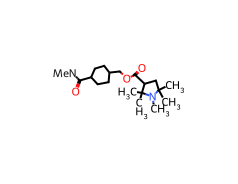 CNC(=O)C1CCC(COC(=O)C2CC(C)(C)N(C)C2(C)C)CC1